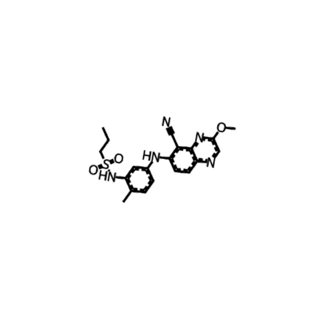 CCCS(=O)(=O)Nc1cc(Nc2ccc3ncc(OC)nc3c2C#N)ccc1C